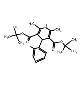 CC1=C(C(=O)OC(C)(C)C)C(c2ccccc2I)C(C(=O)OC(C)(C)C)=C(C)N1